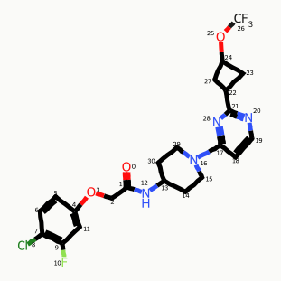 O=C(COc1ccc(Cl)c(F)c1)NC1CCN(c2ccnc(C3CC(OC(F)(F)F)C3)n2)CC1